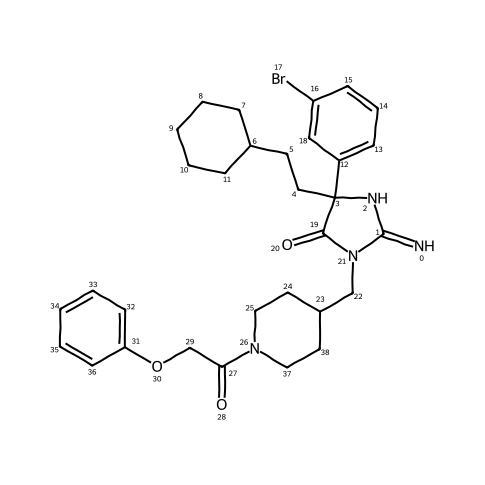 N=C1NC(CCC2CCCCC2)(c2cccc(Br)c2)C(=O)N1CC1CCN(C(=O)COc2ccccc2)CC1